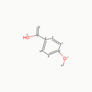 [CH]=C(O)c1ccc(OC)cc1